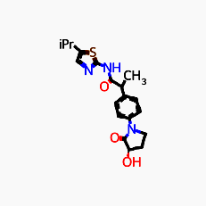 CC(C)c1cnc(NC(=O)C(C)c2ccc(N3CC[C@@H](O)C3=O)cc2)s1